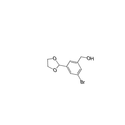 OCc1cc(Br)cc(C2OCCO2)c1